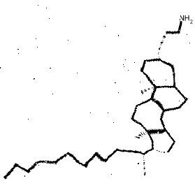 CCCCCCCCCC[C@@H](C)[C@H]1CCC2C3CCC4C[C@@H](CCN)CC[C@]4(C)C3CC[C@@]21C